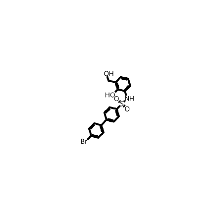 O=S(=O)(Nc1cccc(CO)c1O)c1ccc(-c2ccc(Br)cc2)cc1